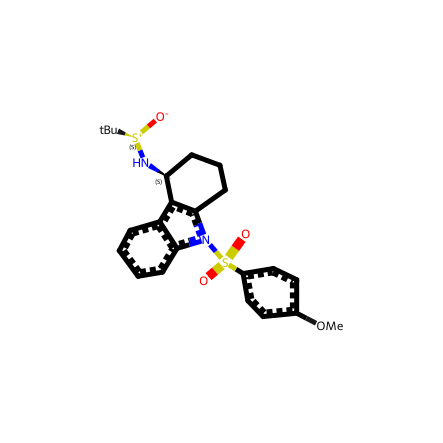 COc1ccc(S(=O)(=O)n2c3c(c4ccccc42)[C@@H](N[S@+]([O-])C(C)(C)C)CCC3)cc1